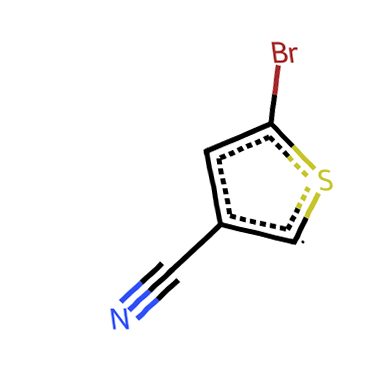 N#Cc1[c]sc(Br)c1